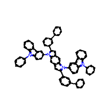 c1ccc(-c2cccc(-c3cc4cc5c(cc(-c6cccc(-c7ccccc7)c6)n5-c5ccc6c(c5)c5ccccc5n6-c5ccccc5)cc4n3-c3ccc4c(c3)c3ccccc3n4-c3ccccc3)c2)cc1